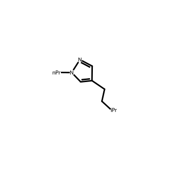 CCCn1cc(CCC(C)C)cn1